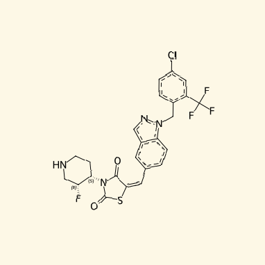 O=C1SC(=Cc2ccc3c(cnn3Cc3ccc(Cl)cc3C(F)(F)F)c2)C(=O)N1[C@H]1CCNC[C@H]1F